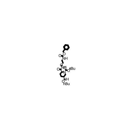 CCCCON[C@@H]1CC[C@@H](C(=O)NOCCNC(=O)OCc2ccccc2)N(C(=O)OC(C)(C)C)C1